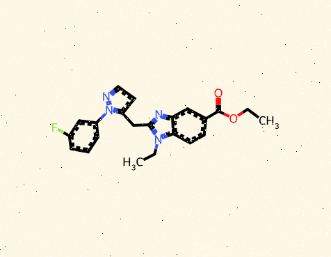 CCOC(=O)c1ccc2c(c1)nc(Cc1ccnn1-c1cccc(F)c1)n2CC